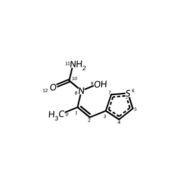 CC(=Cc1ccsc1)N(O)C(N)=O